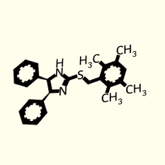 Cc1cc(C)c(C)c(CSC2=N[C@@H](c3ccccc3)[C@@H](c3ccccc3)N2)c1C